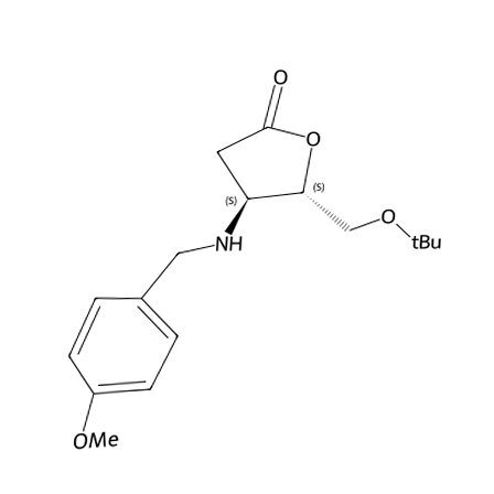 COc1ccc(CN[C@H]2CC(=O)O[C@@H]2COC(C)(C)C)cc1